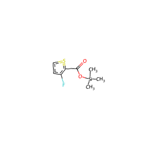 C[Si](C)(C)OC(=O)c1sccc1F